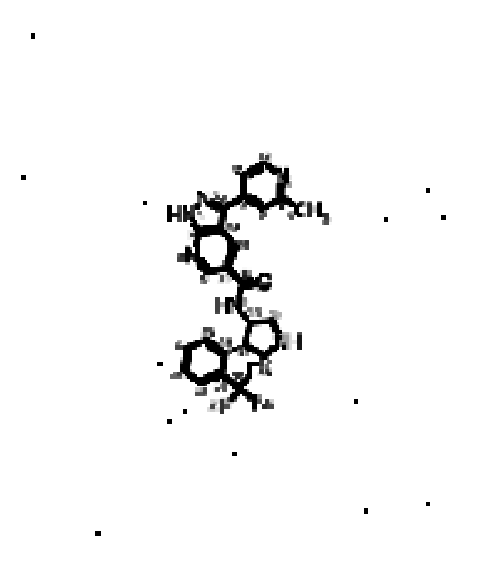 Cc1cc(-c2n[nH]c3ncc(C(=O)N[C@H]4CNC[C@@H]4c4ccccc4C(F)(F)F)cc23)ccn1